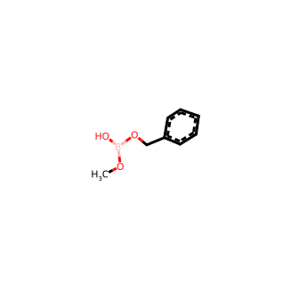 COB(O)OCc1ccccc1